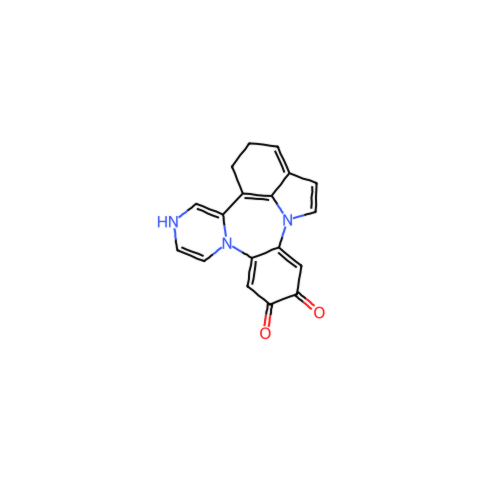 O=c1cc2c(cc1=O)n1ccc3c1c(c1c[nH]ccn12)CCC=3